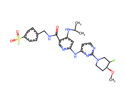 CO[C@H]1CCN(c2nccc(Nc3cc(NC(C)C)c(C(=O)NCc4ccc(S(=O)(=O)F)cc4)cn3)n2)C[C@H]1F